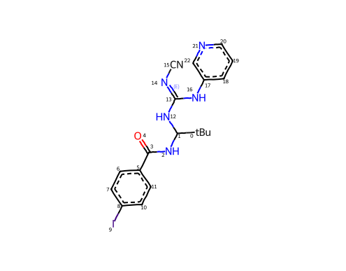 CC(C)(C)C(NC(=O)c1ccc(I)cc1)N/C(=N/C#N)Nc1cccnc1